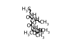 CCCNC(=O)[C@H](CCC(=O)NCC(C)(C)OC(C)(C)COC)NC(=O)CCC